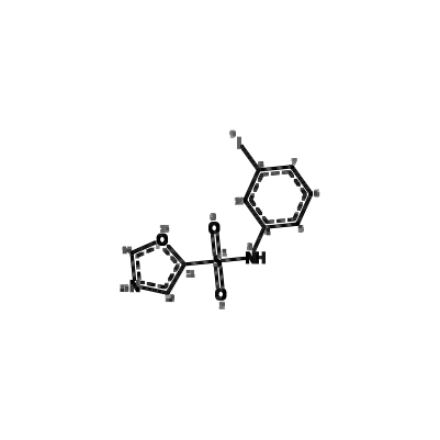 O=S(=O)(Nc1cccc(I)c1)c1cnco1